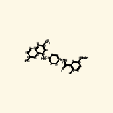 CC(=O)Nc1ccc(C)c(C(=O)N[C@H]2CC[C@@H](Nc3cc(C(F)(F)F)nc4ccc(Cl)cc34)CC2)c1